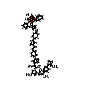 Cc1ncsc1-c1ccc([C@H](C)NC(=O)[C@@H]2C[C@@H](O)CN2C(=O)[C@@H](c2cc(N3CCC(CCC4C=NC(N5CCC(O[C@H]6C[C@H](Oc7cc(N8C9CCC8CN(c8cc(-c%10ccccc%10O)[nH]c8N)C9)ccn7)C6)CC5)=C4)CC3)no2)C(C)C)cc1